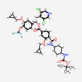 CC(C)(C)OC(=O)N[C@H]1CC[C@@H](NC(=O)c2ccc(C(=O)O[C@@H](Cc3c(Cl)cncc3Cl)c3ccc(OC(F)F)c(OCC4CC4)c3)cc2OCC2CC2)CC1